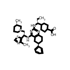 CC[C@@H](Nc1nc2c(c(N[C@@H](CN3CCC[C@H](C)C3)c3scnc3C)n1)C[C@H](c1ccccc1)CC2)C1CCC(C(=O)O)CC1